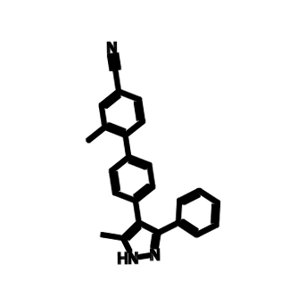 Cc1cc(C#N)ccc1-c1ccc(-c2c(-c3ccccc3)n[nH]c2C)cc1